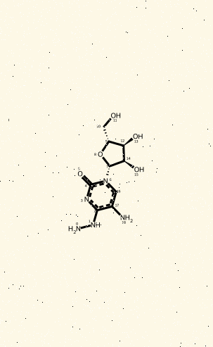 NNc1nc(=O)n([C@@H]2O[C@H](CO)[C@@H](O)[C@H]2O)cc1N